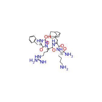 N=C(N)NCCC[C@@H](NC(=O)[C@H](Cc1ccccc1)NC(=O)O)C(=O)N[C@@H](CC12CC3CC(CC(C3)C1)C2)C(=O)N[C@@H](CCCCN)C(N)=O